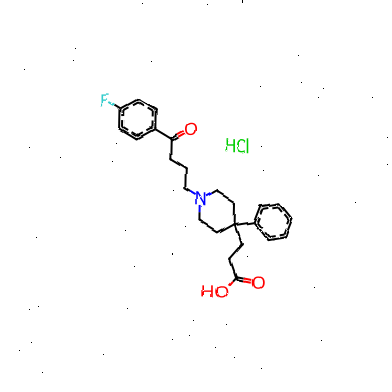 Cl.O=C(O)CCC1(c2ccccc2)CCN(CCCC(=O)c2ccc(F)cc2)CC1